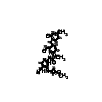 COC1CC(Nc2cc(NC(=O)N(C)c3ccc(CN4CCN(C)CC4=O)c(C=O)n3)ncc2C#N)C1